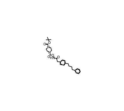 CC(C)(C)OC(=O)N1CCN(C(=O)ONC(=O)Cc2ccc(CCCCc3ccccc3)cc2)CC1